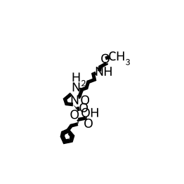 COCCNCCCC[C@H](N)C(=O)N1CCC[C@H]1C(=O)O[C@@H](CCc1ccccc1)C(=O)O